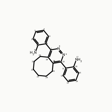 Nc1ccccc1-c1nnc(-c2ccccc2N)c2c1CCCCCC2